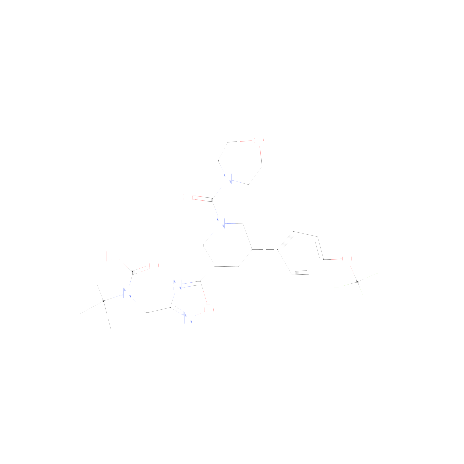 CC(C)(C)N(Cc1noc(C2CC(c3ccc(OC(F)(F)F)cc3)CN(C(=O)N3CCOCC3)C2)n1)C(=O)O